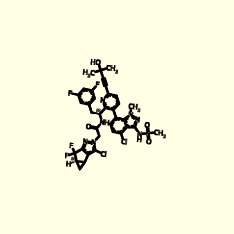 Cn1nc(NS(C)(=O)=O)c2c(Cl)ccc(-c3ccc(C#CC(C)(C)O)nc3[C@H](Cc3cc(F)cc(F)c3)NC(=O)Cn3nc4c(c3Cl)C3C[C@H]3C4(F)F)c21